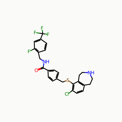 O=C(NCc1ccc(C(F)(F)F)cc1F)c1ccc(CSc2c(Cl)ccc3c2CCNCC3)cc1